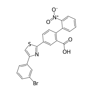 O=C(O)c1cc(-c2nc(-c3cccc(Br)c3)cs2)ccc1-c1ccccc1[N+](=O)[O-]